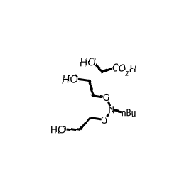 CCCCN(OCCO)OCCO.O=C(O)CO